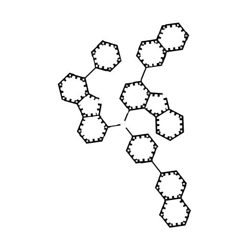 c1ccc(-c2cccc3c2sc2c(N(c4ccc(-c5ccc6ccccc6c5)cc4)c4ccc(-c5ccc6ccccc6c5)c5oc6ccccc6c45)cccc23)cc1